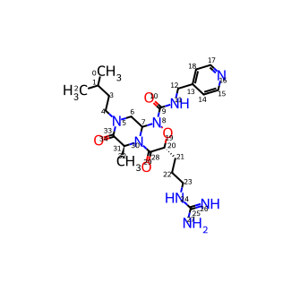 CC(C)CCN1CC2N(C(=O)NCc3ccncc3)O[C@H](CCCNC(=N)N)C(=O)N2[C@@H](C)C1=O